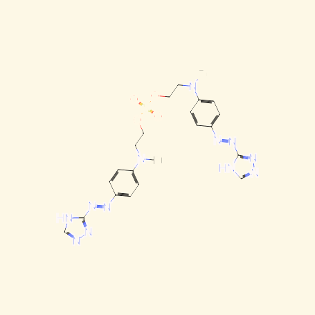 CCN(CCOS(=O)(=O)OCCN(CC)c1ccc(/N=N/c2nnc[nH]2)cc1)c1ccc(/N=N/c2nnc[nH]2)cc1